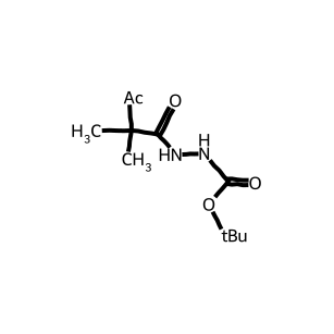 CC(=O)C(C)(C)C(=O)NNC(=O)OC(C)(C)C